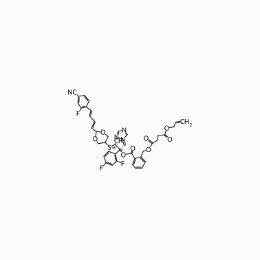 C=CCOC(=O)CCC(=O)OCc1ccccc1C(=O)O[C@@](Cn1cncn1)(c1ccc(F)cc1F)[C@@H](C)SC1COC(C=CC=Cc2ccc(C#N)cc2F)OC1